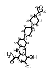 CCC1=NC(C(N)=O)C(NC2CCC(N3CCC(N4CCN(C5COC5)CC4)CC3)CC2)NC1O